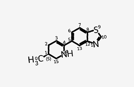 C[C@H]1CC=C(c2ccc3scnc3c2)NC1